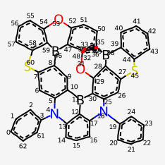 c1ccc(N2c3cc4c(cc3B3c5c2cccc5N(c2ccccc2)c2cc5c6c(c23)Oc2ccccc2B6c2ccccc2S5)B2c3ccccc3Oc3cccc(c32)S4)cc1